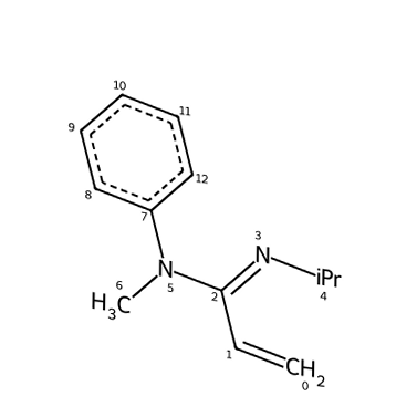 C=CC(=NC(C)C)N(C)c1ccccc1